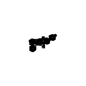 COc1cc(C2CCN(C)CC2)ccc1Nc1nccc(Nc2cccnc2-c2ccccn2)n1